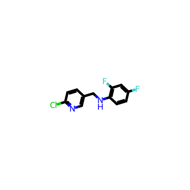 Fc1ccc(NCc2ccc(Cl)nc2)c(F)c1